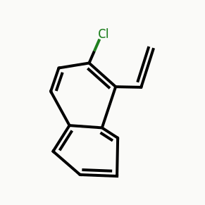 C=Cc1c(Cl)ccc2ccccc12